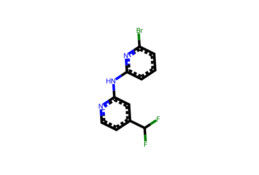 FC(F)c1ccnc(Nc2cccc(Br)n2)c1